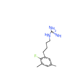 Cc1cc(C)c(F)c(CCCCNC(=N)N)c1